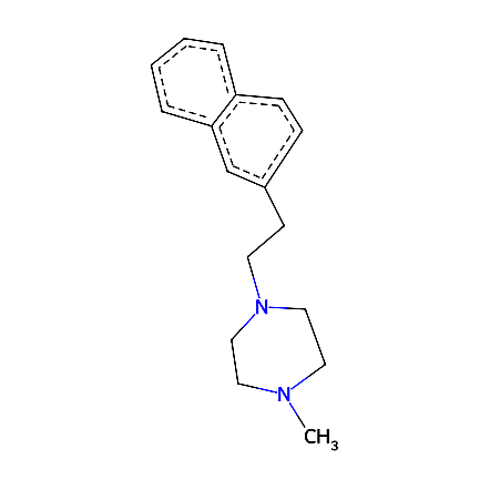 CN1CCN(CCc2ccc3ccccc3c2)CC1